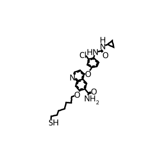 NC(=O)c1cc2c(Oc3ccc(NC(=O)NC4CC4)c(Cl)c3)ccnc2cc1OCCCCCCCS